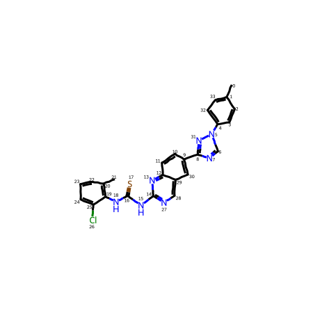 Cc1ccc(-n2cnc(-c3ccc4nc(NC(=S)Nc5c(C)cccc5Cl)ncc4c3)n2)cc1